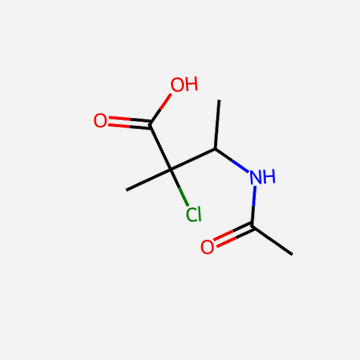 CC(=O)NC(C)C(C)(Cl)C(=O)O